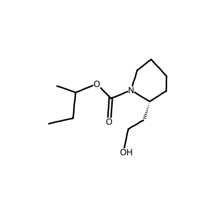 CCC(C)OC(=O)N1CCCC[C@@H]1CCO